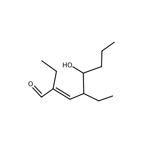 CCCC(O)C(/C=C(/C=O)CC)CC